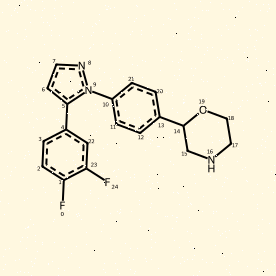 Fc1ccc(-c2ccnn2-c2ccc(C3CNCCO3)cc2)cc1F